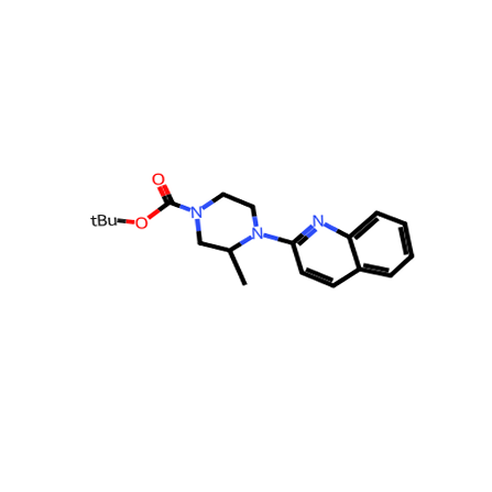 CC1CN(C(=O)OC(C)(C)C)CCN1c1ccc2ccccc2n1